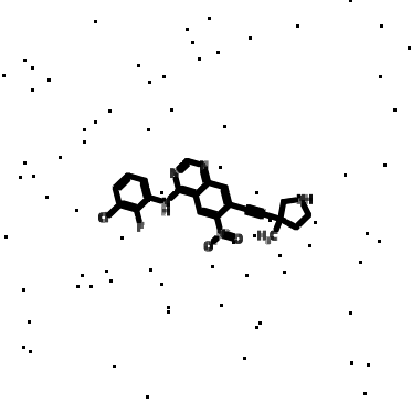 CC1(C#Cc2cc3ncnc(Nc4cccc(Cl)c4F)c3cc2[N+](=O)[O-])CCNC1